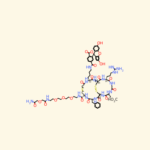 N=C(N)NCCC[C@@H]1NC(=O)[C@@H]2CSSC[C@H](NC(=O)[C@H](CC(=O)O)NC(=O)CNC1=O)C(=O)N[C@@H](Cc1ccccc1)C(=O)N[C@H](C(=O)NCCOCCOCCOCCNC(=O)COCC(N)=O)CSCC(=O)N[C@@H](CCCCNC(=O)c1ccc3c(c1)C1(OC3=O)c3ccc(O)cc3Oc3cc(O)ccc31)C(=O)N2